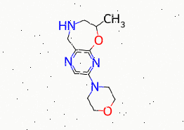 CC1CNCc2ncc(N3CCOCC3)nc2O1